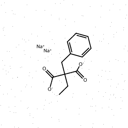 CCC(Cc1ccccc1)(C(=O)[O-])C(=O)[O-].[Na+].[Na+]